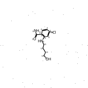 NC(=O)c1ccc(Cl)cc1NCCCCO